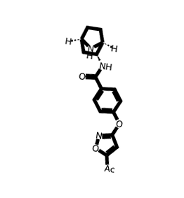 CC(=O)c1cc(Oc2ccc(C(=O)N[C@@H]3C[C@H]4CC[C@@H]3N4)cc2)no1